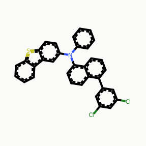 Clc1cc(Cl)cc(-c2cccc3c(N(c4ccccc4)c4ccc5sc6ccccc6c5c4)cccc23)c1